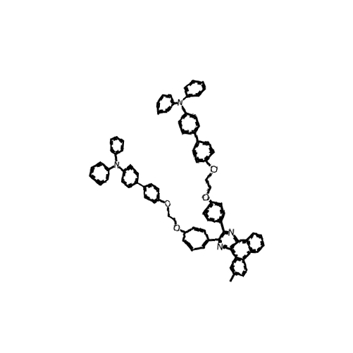 Cc1ccc2c3ccccc3c3nc(-c4ccc(OCCOc5ccc(-c6ccc(N(c7ccccc7)c7ccccc7)cc6)cc5)cc4)c(C4=CC=CC(OCCOc5ccc(-c6ccc(N(c7ccccc7)c7ccccc7)cc6)cc5)C=C4)nc3c2c1